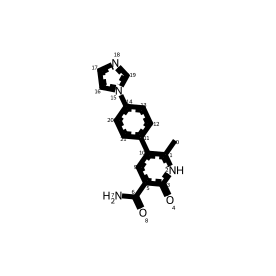 Cc1[nH]c(=O)c(C(N)=O)cc1-c1ccc(-n2ccnc2)cc1